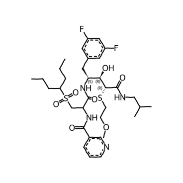 CCCC(CCC)S(=O)(=O)CC(NC(=O)c1cccnc1)C(=O)N[C@@H](Cc1cc(F)cc(F)c1)[C@@H](O)[C@@H](SCCOC)C(=O)NCC(C)C